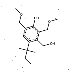 CCC(C)(C)c1cc(COC)c(O)c(COC)c1CO